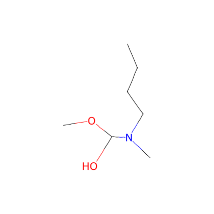 CCCCN(C)C(O)OC